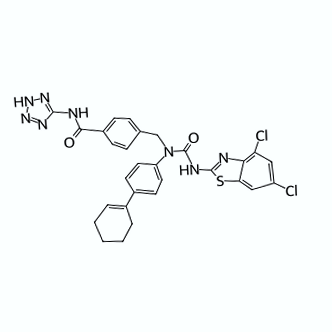 O=C(Nc1nn[nH]n1)c1ccc(CN(C(=O)Nc2nc3c(Cl)cc(Cl)cc3s2)c2ccc(C3=CCCCC3)cc2)cc1